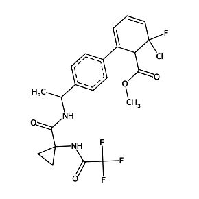 COC(=O)C1C(c2ccc(C(C)NC(=O)C3(NC(=O)C(F)(F)F)CC3)cc2)=CC=CC1(F)Cl